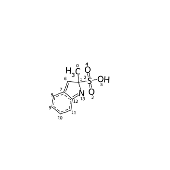 CC1(S(=O)(=O)O)C=c2ccccc2=N1